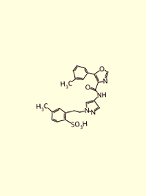 Cc1cccc(-c2ocnc2C(=O)Nc2cnn(CCc3cc(C)ccc3S(=O)(=O)O)c2)c1